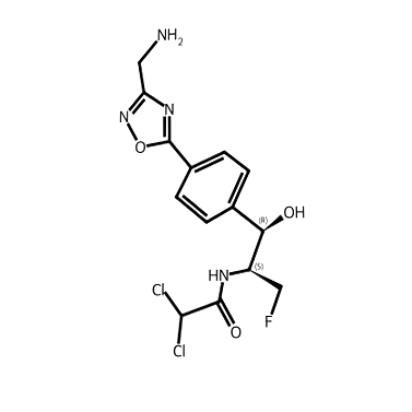 NCc1noc(-c2ccc([C@@H](O)[C@@H](CF)NC(=O)C(Cl)Cl)cc2)n1